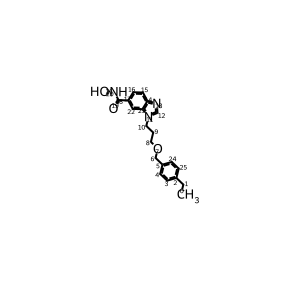 CCc1ccc(COCCCn2cnc3ccc(C(=O)NO)cc32)cc1